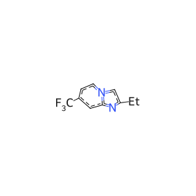 CCc1cn2ccc(C(F)(F)F)cc2n1